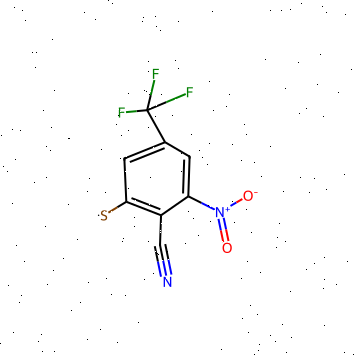 N#Cc1c([S])cc(C(F)(F)F)cc1[N+](=O)[O-]